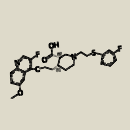 COc1ccc2ncc(F)c(CCC[C@H]3CCN(CCSc4cccc(F)c4)C[C@H]3C(=O)O)c2c1